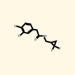 O=C(Cc1ccc(Cl)c(Cl)c1)NCC1CC1(F)F